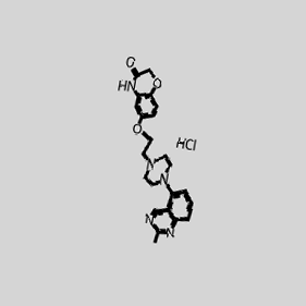 Cc1ncc2c(N3CCN(CCOc4ccc5c(c4)NC(=O)CO5)CC3)cccc2n1.Cl